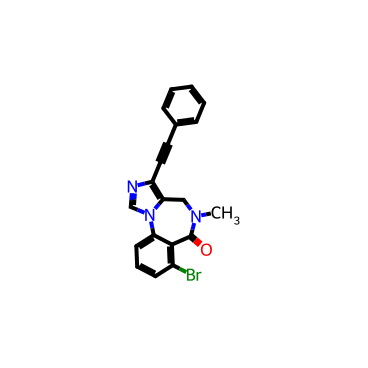 CN1Cc2c(C#Cc3ccccc3)ncn2-c2cccc(Br)c2C1=O